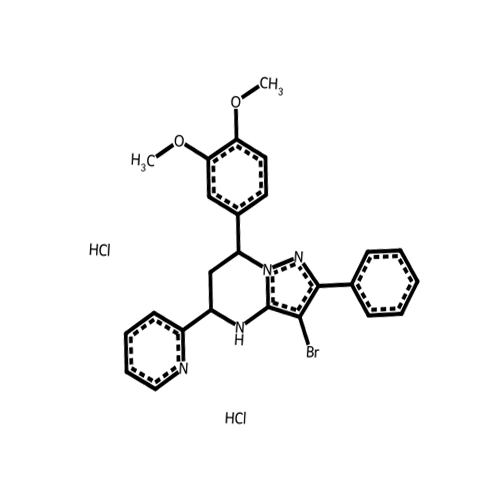 COc1ccc(C2CC(c3ccccn3)Nc3c(Br)c(-c4ccccc4)nn32)cc1OC.Cl.Cl